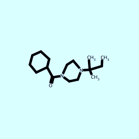 CCC(C)(C)N1CCN(C(=O)C2CCCCC2)CC1